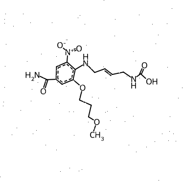 COCCCOc1cc(C(N)=O)cc([N+](=O)[O-])c1NC/C=C/CNC(=O)O